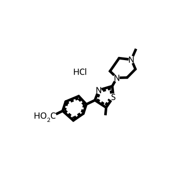 Cc1sc(N2CCN(C)CC2)nc1-c1ccc(C(=O)O)cc1.Cl